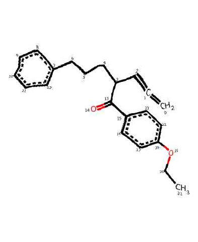 C=C=CC(CCCc1ccccc1)C(=O)c1ccc(OCC)cc1